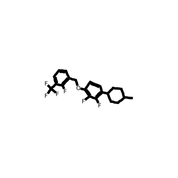 CC1CCC(c2ccc(OCc3cccc(C(F)(F)F)c3F)c(F)c2F)CC1